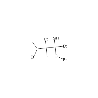 CCOC([SiH3])(CC)C(C)(CC)C(I)CC